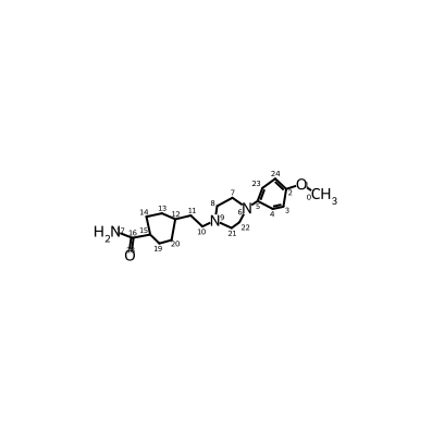 COc1ccc(N2CCN(CCC3CCC(C(N)=O)CC3)CC2)cc1